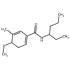 CCCC(CC)NC(=O)C1=CCC(OC)C(C)=C1